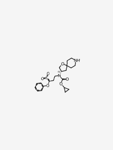 O=C(OC1CC1)N(CCC(Oc1ccccc1)=S(=O)=O)[C@@H]1COC2(CCNCC2)C1